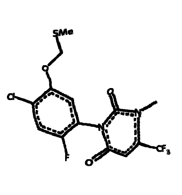 CSCOc1cc(-n2c(=O)cc(C(F)(F)F)n(C)c2=O)c(F)cc1Cl